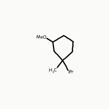 [CH2]OC1CCCC(C)(C(C)C)C1